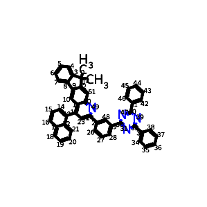 CC1(C)c2ccccc2-c2cc3c(-c4cccc5ccccc45)cc(-c4cccc(-c5nc(-c6ccccc6)nc(-c6ccccc6)n5)c4)nc3cc21